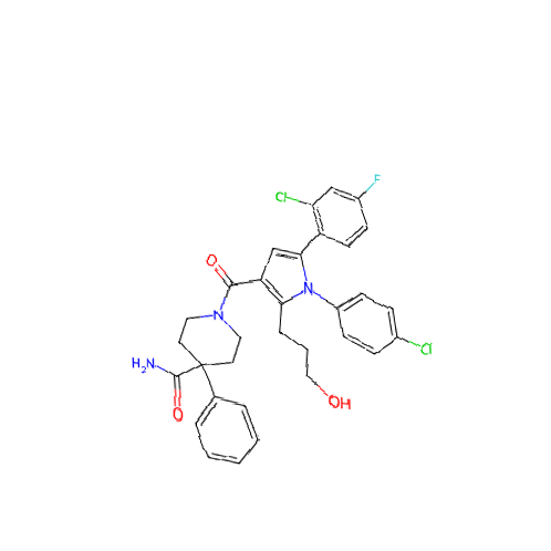 NC(=O)C1(c2ccccc2)CCN(C(=O)c2cc(-c3ccc(F)cc3Cl)n(-c3ccc(Cl)cc3)c2CCCO)CC1